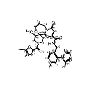 Cc1nnc(C(=O)N2CCC3(OCCCn4c3nc(C(=O)NCc3ccc(F)cc3-n3ncnc3C)cc4=O)C(O)C2)o1